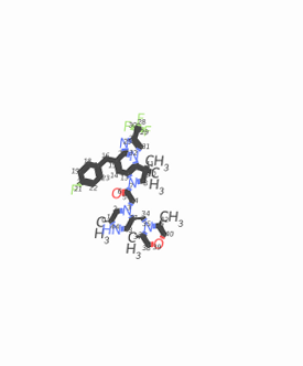 C[C@@H]1CN(CC(=O)N2CC(C)(C)c3c2cc(Cc2ccc(F)cc2)c2nc(C(F)(F)F)cn32)[C@@H](CN2[C@H](C)COC[C@@H]2C)CN1